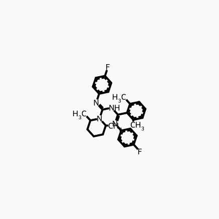 Cc1cccc(C)c1/C(=N\c1ccc(F)cc1)N/C(=N\c1ccc(F)cc1)N1C(C)CCCC1C